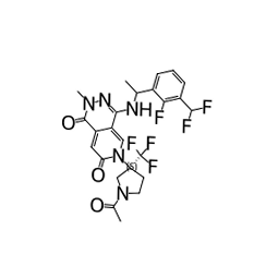 CC(=O)N1CC[C@@](n2cc3c(NC(C)c4cccc(C(F)F)c4F)nn(C)c(=O)c3cc2=O)(C(F)(F)F)C1